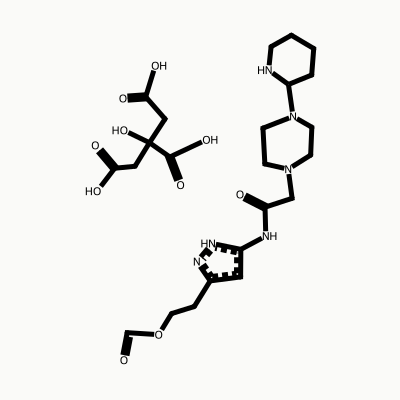 O=C(O)CC(O)(CC(=O)O)C(=O)O.O=COCCc1cc(NC(=O)CN2CCN(C3CCCCN3)CC2)[nH]n1